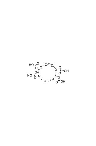 O=C(O)OC1OCCOCCOC(OC(=O)O)C(OC(=O)O)OCCOCCOC1OC(=O)O